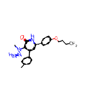 Cc1ccc(-c2cc(-c3ccc(OCCCC(F)(F)F)cc3)[nH]c(=O)c2N(C)N=N)cc1